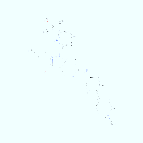 C=CCn1c(=O)c2cnc(Nc3ccc(C4CCN(C)CC4)cc3)nc2n1-c1cccc(C(C)(C)O)n1